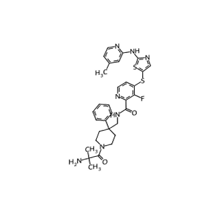 Cc1ccnc(Nc2ncc(Sc3ccnc(C(=O)NCC4(c5ccccc5)CCN(C(=O)C(C)(C)N)CC4)c3F)s2)c1